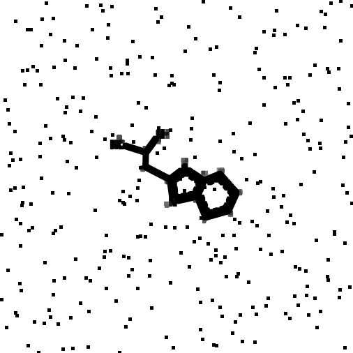 N#CC(S)Cc1nc2ccccc2s1